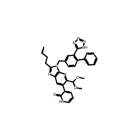 CCCCc1nc2cc(-c3ccc[nH]c3=O)c(C(OC)OC)nc2n1Cc1ccc(-c2ccccc2)c(-c2nnn[nH]2)c1